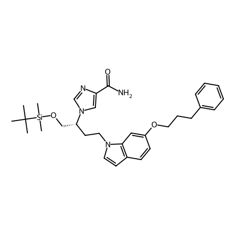 CC(C)(C)[Si](C)(C)OC[C@@H](CCn1ccc2ccc(OCCCc3ccccc3)cc21)n1cnc(C(N)=O)c1